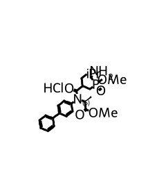 COC(=O)[C@H](C)N(C(=O)C(CC(C)C)CP(=O)(CN)OC)c1ccc(-c2ccccc2)cc1.Cl